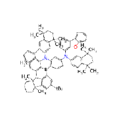 Cc1cc2c3c(c1)N(c1cc4c(cc1-c1ccccc1)C(C)(C)CCC4(C)C)c1cc(N(c4ccc5c(c4)C(C)(C)CCC5(C)C)c4cccc5c4oc4ccccc45)ccc1B3c1cc(C(C)(C)C)cc3c1C2C1(C)CCCCC31C